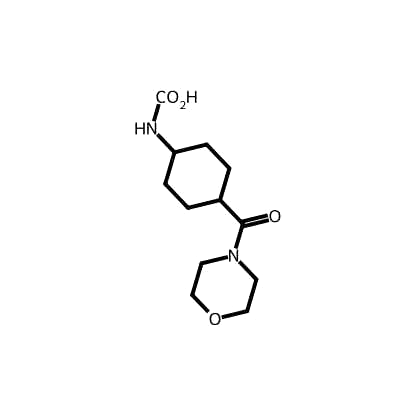 O=C(O)NC1CCC(C(=O)N2CCOCC2)CC1